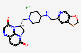 Cl.O=c1ccc2ncc(=O)n3c2n1C[C@H]3CN1CCC(NCc2cc3c(cn2)OCS3)CC1